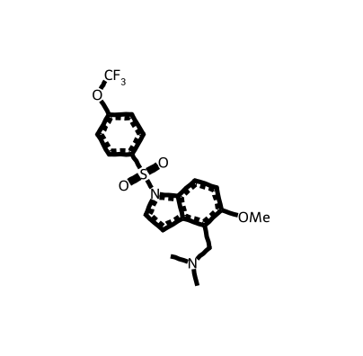 COc1ccc2c(ccn2S(=O)(=O)c2ccc(OC(F)(F)F)cc2)c1CN(C)C